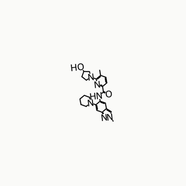 Cc1ccc(C(=O)Nc2cc3cn(C)nc3cc2N2CCCCC2)nc1N1CCC(O)C1